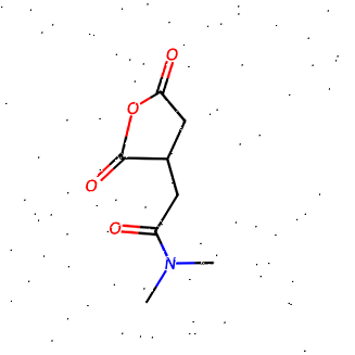 CN(C)C(=O)CC1CC(=O)OC1=O